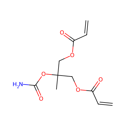 C=CC(=O)OCC(C)(COC(=O)C=C)OC(N)=O